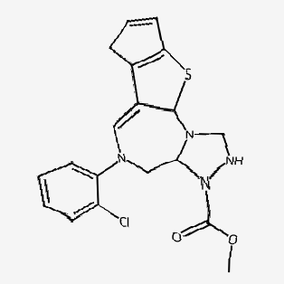 COC(=O)N1NCN2C3SC4=C(CC=C4)C3=CN(c3ccccc3Cl)CC12